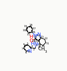 CC1(NCc2ccccn2)CCCc2nn(-c3ccccc3)c(O)c21